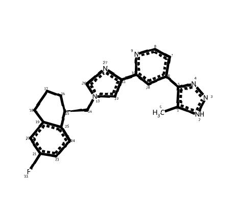 Cc1[nH]nnc1-c1ccnc(-c2cn(C[C@@H]3CCCc4cc(F)ccc43)cn2)c1